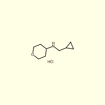 C1CC(NCC2CC2)CCO1.Cl